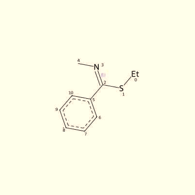 CCS/C(=N/C)c1cc[c]cc1